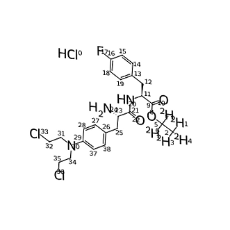 Cl.[2H]C([2H])([2H])C([2H])([2H])OC(=O)[C@H](Cc1ccc(F)cc1)NC(=O)[C@@H](N)Cc1ccc(N(CCCl)CCCl)cc1